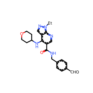 CCn1ncc2c(NC3CCOCC3)c(C(=O)NCc3ccc(C=O)cc3)cnc21